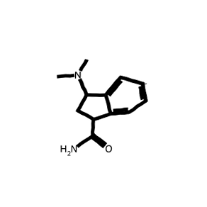 CN(C)C1CC(C(N)=O)c2cc[c]cc21